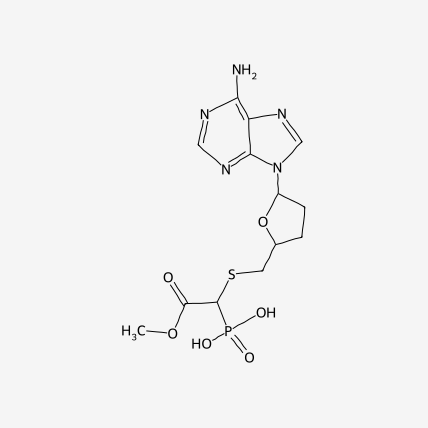 COC(=O)C(SCC1CCC(n2cnc3c(N)ncnc32)O1)P(=O)(O)O